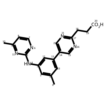 Cc1cc(Nc2nccc(C)n2)cc(-c2cnc(CCC(=O)O)nc2)c1